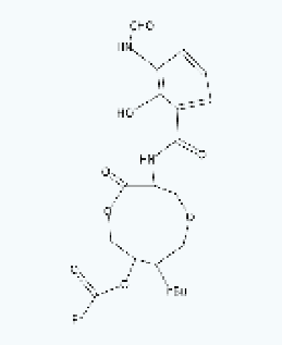 CCCCC1COCC(NC(=O)c2cccc(NC=O)c2O)C(=O)OCC1OC(=O)C(C)C